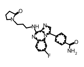 NC(=O)c1ccc(-c2cnc3c(NCCCN4CCCC4=O)nc4ccc(F)cc4n23)cc1